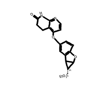 CCOC(=O)[C@H]1C2Oc3ccc(Oc4ccnc5c4CCC(=O)N5)cc3C21